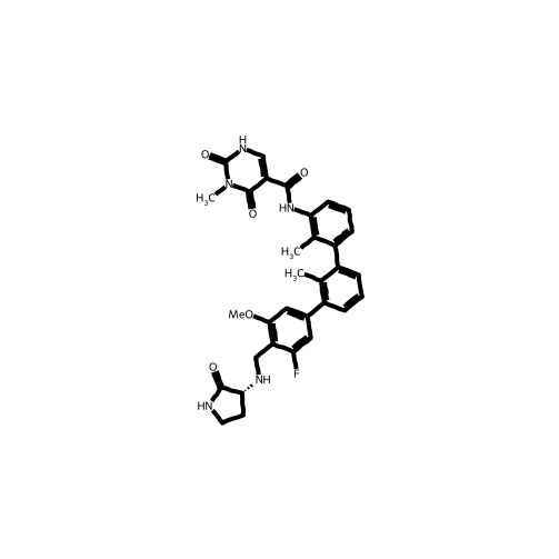 COc1cc(-c2cccc(-c3cccc(NC(=O)c4c[nH]c(=O)n(C)c4=O)c3C)c2C)cc(F)c1CN[C@@H]1CCNC1=O